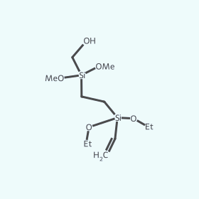 C=C[Si](CC[Si](CO)(OC)OC)(OCC)OCC